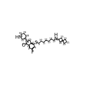 O=C1c2cc(F)cc(SCCCCCCCNC3CC4(CCC4)C3)c2CN1C1CCCNC1